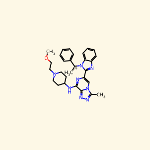 COCCN1CCC(Nc2nc(-c3nc4ccccc4n3[C@@H](C)c3ccccc3)cn3c(C)nnc23)CC1